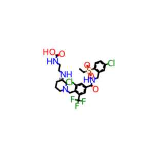 CCS(=O)(=O)c1ccc(Cl)cc1CNC(=O)c1cc(Cl)c(CN2CCC[C@H](NCCNC(=O)O)C2)c(C(F)(F)F)c1